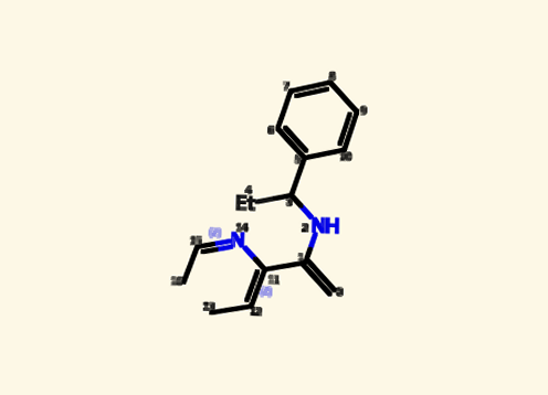 C=C(NC(CC)c1ccccc1)C(=C/C)/N=C\C